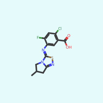 CC1Cc2nsc(=Nc3cc(C(=O)O)c(Cl)cc3F)n2C1